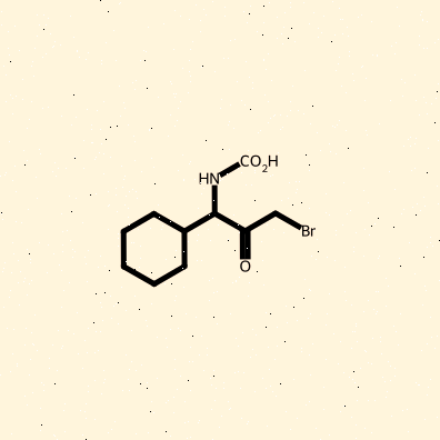 O=C(O)NC(C(=O)CBr)C1CCCCC1